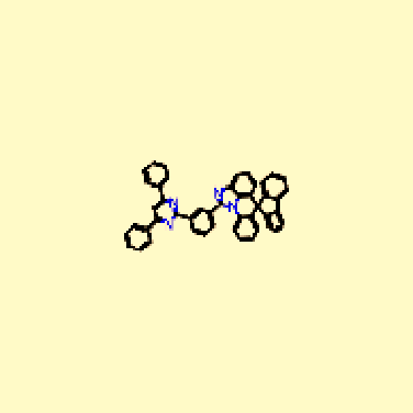 c1ccc(-c2cc(-c3ccccc3)nc(-c3cccc(-c4nc5cccc6c5n4-c4ccccc4C64c5ccccc5-c5ccccc54)c3)n2)cc1